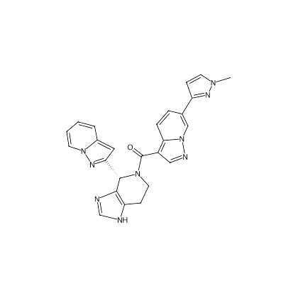 Cn1ccc(-c2ccc3c(C(=O)N4CCc5[nH]cnc5[C@@H]4c4cc5ccccn5n4)cnn3c2)n1